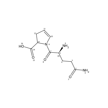 NC(=O)CC[C@H](N)C(=O)N1C=CCC1C(=O)O